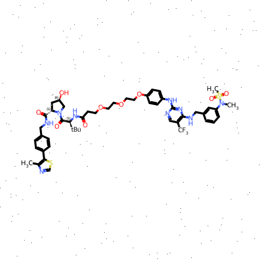 Cc1ncsc1-c1ccc(CNC(=O)[C@@H]2C[C@@H](O)CN2C(=O)[C@@H](NC(=O)CCOCCOCCOc2ccc(Nc3ncc(C(F)(F)F)c(NCc4cccc(N(C)S(C)(=O)=O)c4)n3)cc2)C(C)(C)C)cc1